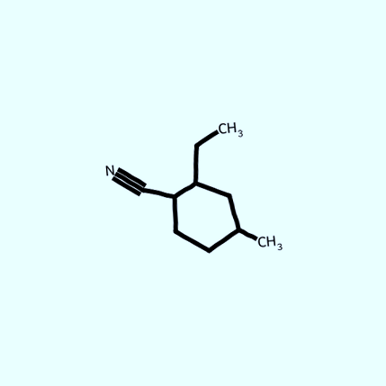 CCC1CC(C)CCC1C#N